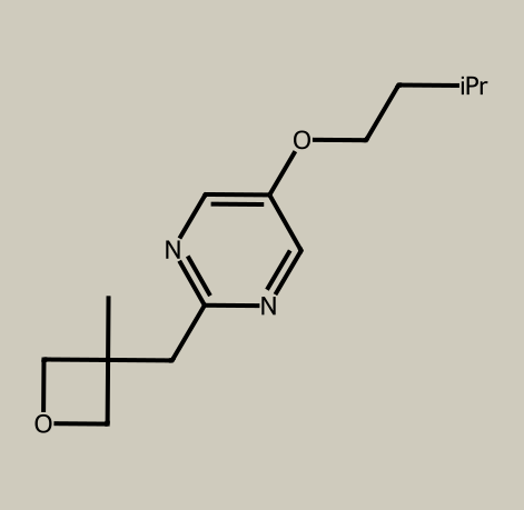 CC(C)CCOc1cnc(CC2(C)COC2)nc1